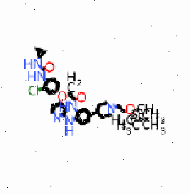 C=CC(=O)Nc1cc(C2CCN(CCO[Si](C)(C)C(C)(C)C)CC2)ccc1Nc1cc(Oc2ccc(NC(=O)NC3CC3)c(Cl)c2)ccn1